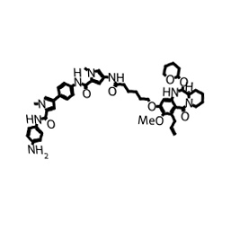 C=CCc1c(OC)c(OCCCCCC(=O)Nc2cc(C(=O)Nc3ccc(-c4cc(C(=O)Nc5ccc(N)cc5)n(C)c4)cc3)n(C)c2)cc2c1C(=O)N1CCCC[C@H]1C(OC1CCCCO1)N2